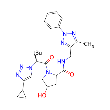 Cc1nn(-c2ccccc2)nc1CNC(=O)C1CC(O)CN1C(=O)[C@@H](n1cc(C2CC2)nn1)C(C)(C)C